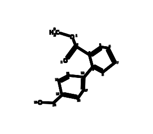 COC(=O)c1ccccc1-c1ccc(C[O])cc1